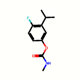 CNC(=O)Oc1ccc(F)c(C(C)C)c1